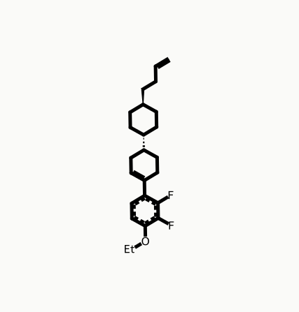 C=CCC[C@H]1CC[C@H](C2CC=C(c3ccc(OCC)c(F)c3F)CC2)CC1